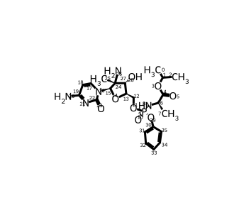 CC(C)OC(=O)[C@@H](C)N[P@@](=O)(OC[C@H]1O[C@@H](n2ccc(N)nc2=O)[C@](C)(N)[C@@H]1O)Oc1ccccc1